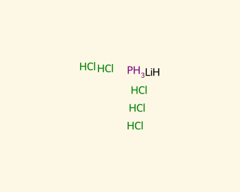 Cl.Cl.Cl.Cl.Cl.P.[LiH]